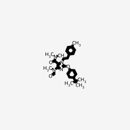 Cc1ccc(CCn2c(OC3=CCC(C(C)(C)C)C=C3)nc(N(C)C=O)c2C(=O)N(C)C)cc1